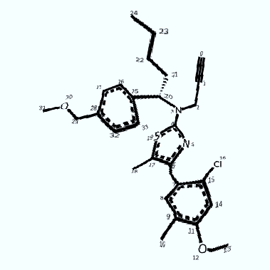 C#CCN(c1nc(-c2cc(C)c(OC)cc2Cl)c(C)s1)[C@@H](CCCC)c1ccc(COC)cc1